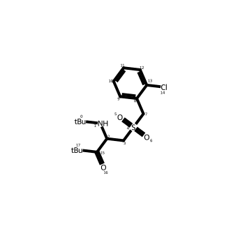 CC(C)(C)NC(CS(=O)(=O)Cc1ccccc1Cl)C(=O)C(C)(C)C